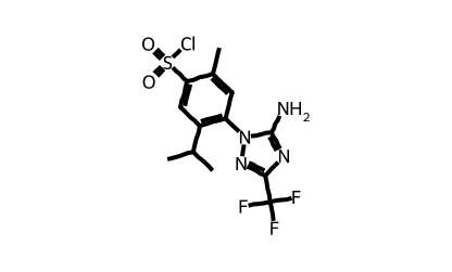 Cc1cc(-n2nc(C(F)(F)F)nc2N)c(C(C)C)cc1S(=O)(=O)Cl